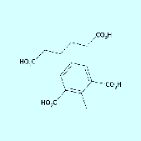 Cc1c(C(=O)O)cccc1C(=O)O.O=C(O)CCCCC(=O)O